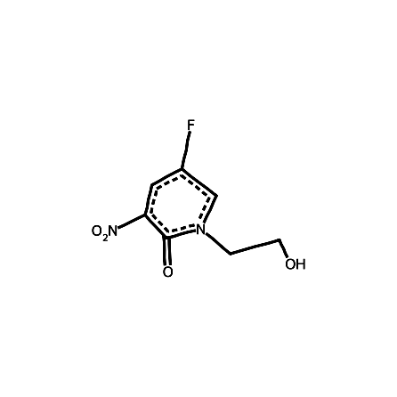 O=c1c([N+](=O)[O-])cc(F)cn1CCO